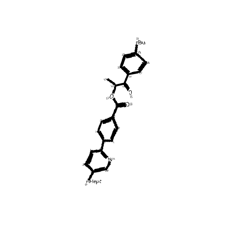 CCCCCCCc1ccc(-c2ccc(C(=O)OC(C)C(=O)c3ccc(CCCC)cc3)cc2)nc1